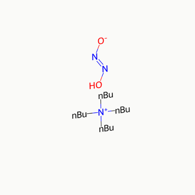 CCCC[N+](CCCC)(CCCC)CCCC.[O-]N=NO